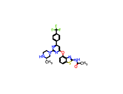 CC(=O)Nc1nc2c(Oc3cc(-c4ccc(C(F)(F)F)cc4)nc(N4CCN[C@@H](C)C4)n3)cccc2s1